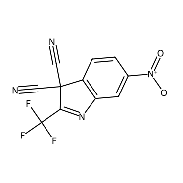 N#CC1(C#N)C(C(F)(F)F)=Nc2cc([N+](=O)[O-])ccc21